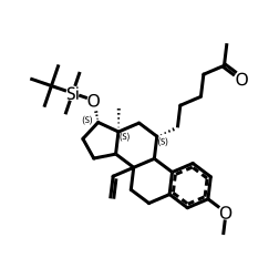 C=CC12CCc3cc(OC)ccc3C1[C@@H](CCCCC(C)=O)C[C@@]1(C)C2CC[C@@H]1O[Si](C)(C)C(C)(C)C